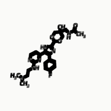 CC(=O)NCC1(C)COC(c2nc(-c3ccc(F)cc3)c(-c3ccnc(NCCN(C)C)n3)[nH]2)OC1